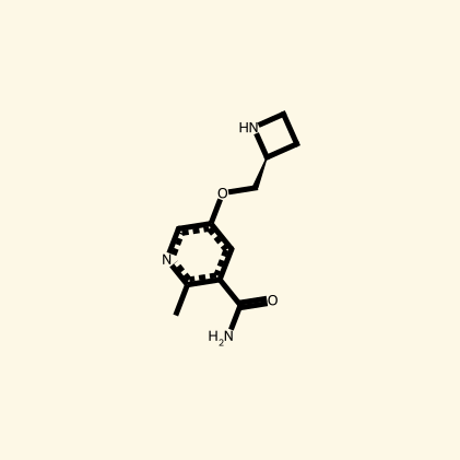 Cc1ncc(OC[C@@H]2CCN2)cc1C(N)=O